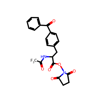 O=C(c1ccccc1)c1ccc(CC(NC(=O)C(F)(F)F)C(=O)ON2C(=O)CCC2=O)cc1